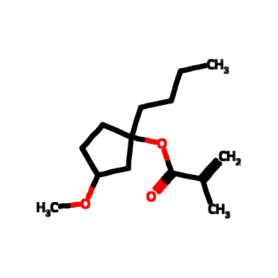 C=C(C)C(=O)OC1(CCCC)CCC(OC)C1